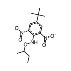 CCC(C)ONc1c([N+](=O)[O-])cc(C(C)(C)C)cc1[N+](=O)[O-]